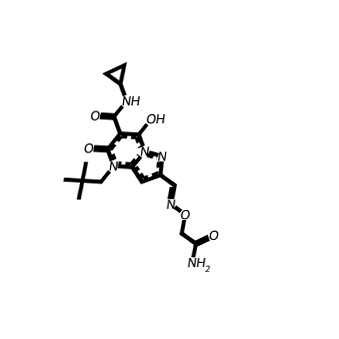 CC(C)(C)Cn1c(=O)c(C(=O)NC2CC2)c(O)n2nc(C=NOCC(N)=O)cc12